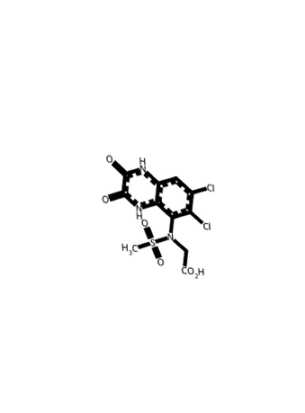 CS(=O)(=O)N(CC(=O)O)c1c(Cl)c(Cl)cc2[nH]c(=O)c(=O)[nH]c12